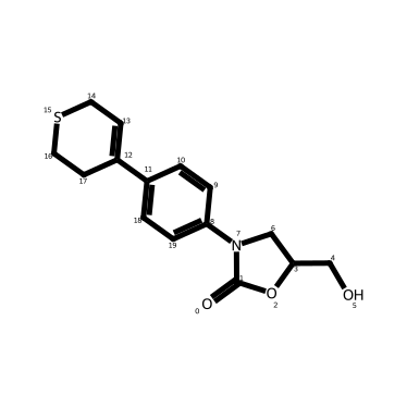 O=C1OC(CO)CN1c1ccc(C2=CCSCC2)cc1